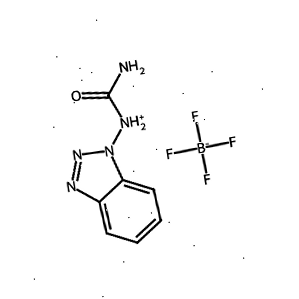 F[B-](F)(F)F.NC(=O)[NH2+]n1nnc2ccccc21